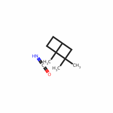 CC1(C)CC2CCC21C.N=C=O